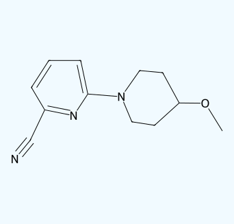 COC1CCN(c2cccc(C#N)n2)CC1